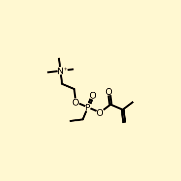 C=C(C)C(=O)OP(=O)(CC)OCC[N+](C)(C)C